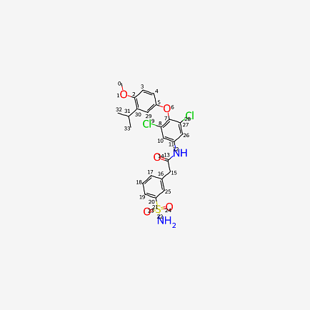 COc1ccc(Oc2c(Cl)cc(NC(=O)Cc3cccc(S(N)(=O)=O)c3)cc2Cl)cc1C(C)C